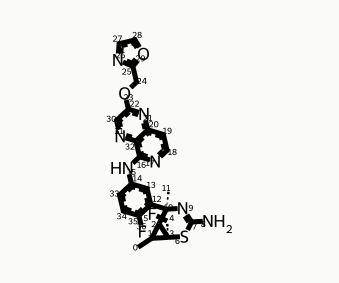 CC1C2[C@@]1(CF)SC(N)=N[C@]2(C)c1cc(Nc2nccc3nc(OCc4ncco4)cnc23)ccc1F